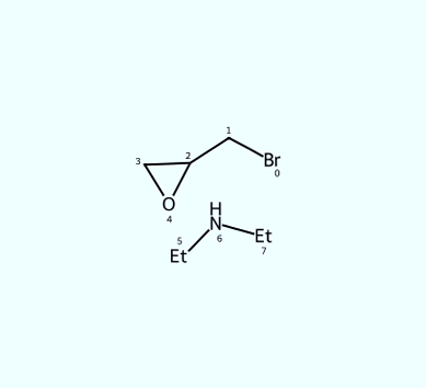 BrCC1CO1.CCNCC